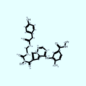 CCCNC(=O)c1ccc(C)c(Nc2ncnn3cc(C(=O)N(CC)C(=O)OCOC(=O)Cc4ccc(O)cc4)cc23)c1